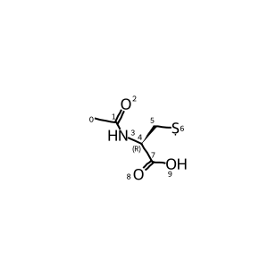 CC(=O)N[C@@H](C[S])C(=O)O